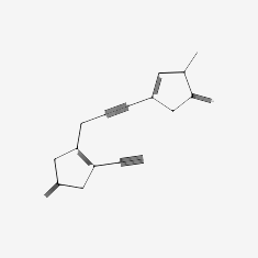 C#CC1=C(CC#CC2=CC(C)C(=O)C2)CC(=O)C1